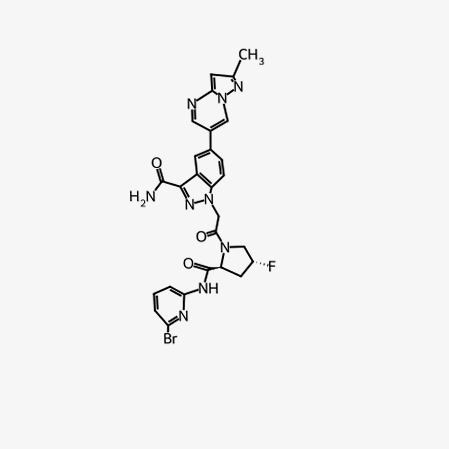 Cc1cc2ncc(-c3ccc4c(c3)c(C(N)=O)nn4CC(=O)N3C[C@H](F)C[C@H]3C(=O)Nc3cccc(Br)n3)cn2n1